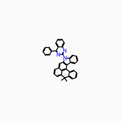 CC1(C)c2ccccc2-c2c3c1cccc3cc1c2c2ccccc2n1-c1nc(-c2ccccc2)c2ccccc2n1